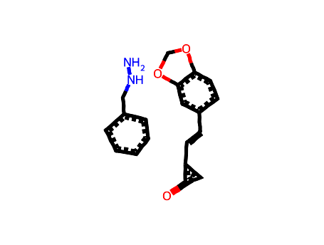 NNCc1ccccc1.O=c1cc1C=Cc1ccc2c(c1)OCO2